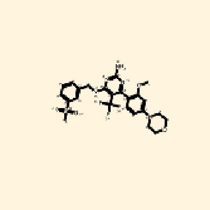 COc1cc(N2CCOCC2)ccc1-c1nc(N)nc(NCc2cccc(S(C)(=O)=O)c2)c1C(F)(F)F